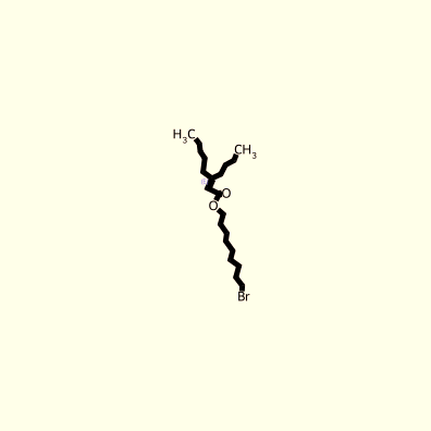 CCCCC/C(=C/C(=O)OCCCCCCCCCBr)CCCC